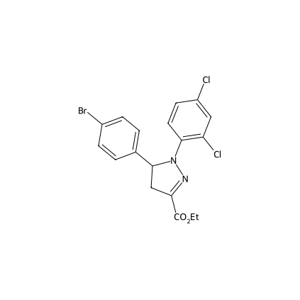 CCOC(=O)C1=NN(c2ccc(Cl)cc2Cl)C(c2ccc(Br)cc2)C1